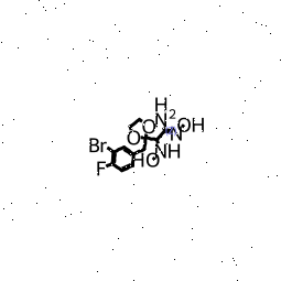 N/C(=N\O)C(NO)C1(Cc2ccc(F)c(Br)c2)OCCO1